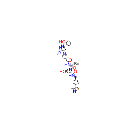 Cc1ncsc1-c1ccc([C@H](C)NC(=O)[C@@H]2C[C@@H](O)CN2C(=O)[C@@H](NC(=O)C=C2CCN(c3cc(-c4ccccc4O)nnc3N)CC2)C(C)(C)C)cc1